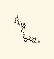 C=C(O/C(=C/C(=C)N(CCOCCOCc1cccc(C(=O)/C=C(\O)C(=O)OCC)c1)S(C)(=O)=O)CC)c1ccc(F)cc1